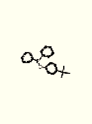 CC(C)(C)c1ccc(OP(c2ccccc2)c2ccccc2)cc1